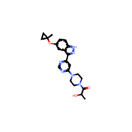 CC(O)C(=O)N1CCN(c2cc(-c3n[nH]c4ccc(OC5(C)CC5)cc34)ncn2)CC1